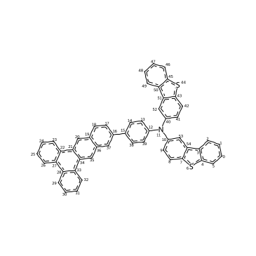 c1ccc2c(c1)sc1ccc(N(c3ccc(-c4ccc5cc6c7ccccc7c7ccccc7c6cc5c4)cc3)c3ccc4sc5ccccc5c4c3)cc12